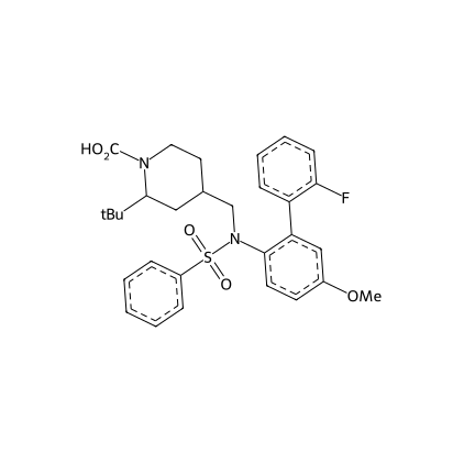 COc1ccc(N(CC2CCN(C(=O)O)C(C(C)(C)C)C2)S(=O)(=O)c2ccccc2)c(-c2ccccc2F)c1